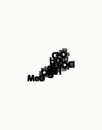 COc1cccc(S(=O)(=O)NC(=O)CNc2ccc(Cl)cc2C(O)c2ccccc2Cl)c1